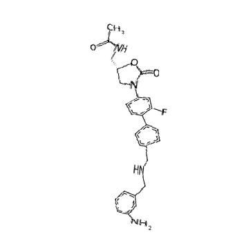 CC(=O)NC[C@H]1CN(c2ccc(-c3ccc(CNCc4cccc(N)c4)cc3)c(F)c2)C(=O)O1